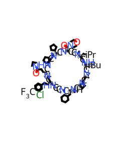 CC[C@H](C)[C@H]1CN(C)[C@@H](C)CN2CC[C@H]2CN(C)[C@@H](CC2CCCCC2)CN(C)CCN[C@@H](CCc2ccc(C(F)(F)F)c(Cl)c2)CN(C)[C@@H](CCC(=O)N2CCC2)CNC2(CCCC2)CN(C)[C@@H](C2CCCC2)CN(C)[C@H](C(=O)N2CCOCC2)CCN(C)[C@@H](CC(C)C)CN1